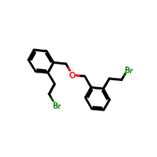 BrCCc1ccccc1COCc1ccccc1CCBr